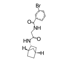 O=C(CNC(=O)c1cccc(Br)c1)N[C@@H]1C[C@@H]2CC[C@H]1C2